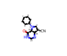 N#Cc1cn(-c2ccccc2)c2c(=O)[nH]cnc12